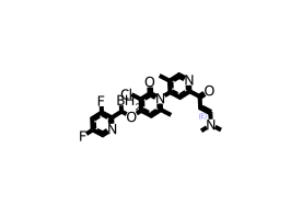 BC(Oc1cc(C)n(-c2cc(C(=O)/C=C/N(C)C)ncc2C)c(=O)c1Cl)c1ncc(F)cc1F